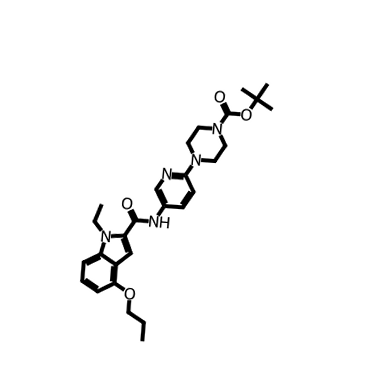 CCCOc1cccc2c1cc(C(=O)Nc1ccc(N3CCN(C(=O)OC(C)(C)C)CC3)nc1)n2CC